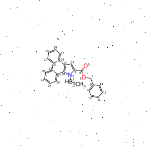 CBn1c(C(=O)OCc2ccccc2)cc2c3ccccc3c3ccccc3c21